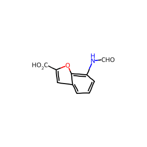 O=CNc1cccc2cc(C(=O)O)oc12